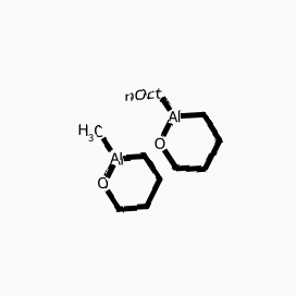 CCCCCCC[CH2][Al]1[CH2]CCC[O]1.[CH3][Al]1[CH2]CCC[O]1